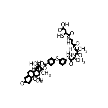 C[C@H](NC(=O)CCNC(=O)C(S)CC(=O)O)C(=O)N[C@@H](C)C(=O)Nc1cccc(Sc2ccc([C@@H]3O[C@@H]4CC5[C@@H]6CCC7=CC(=O)C=C[C@]7(C)C6[C@@H](O)C[C@]5(C)[C@]4(C(=O)CO)O3)cc2)c1